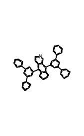 c1ccc(-c2cc(-c3ccccc3)cc(-c3c4ccccc4c(-c4cc(-c5ccccc5)cc(-c5ccccc5)c4)c4cnccc34)c2)cc1